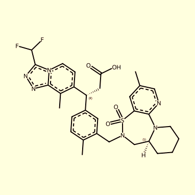 Cc1cnc2c(c1)S(=O)(=O)N(Cc1cc([C@@H](CC(=O)O)c3ccn4c(C(F)F)nnc4c3C)ccc1C)C[C@@H]1CCCCN21